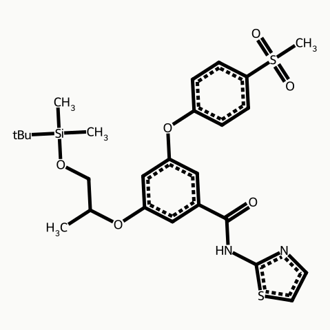 CC(CO[Si](C)(C)C(C)(C)C)Oc1cc(Oc2ccc(S(C)(=O)=O)cc2)cc(C(=O)Nc2nccs2)c1